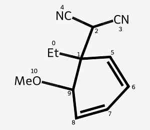 CCC1(C(C#N)C#N)C=CC=CC1OC